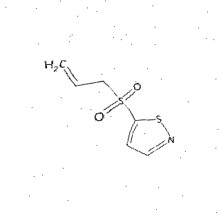 C=CCS(=O)(=O)c1ccns1